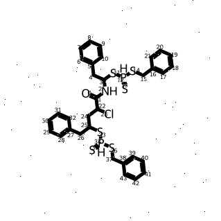 O=C(NC(Cc1ccccc1)S[PH](=S)SCc1ccccc1)C(Cl)CC(Cc1ccccc1)S[PH](=S)SCc1ccccc1